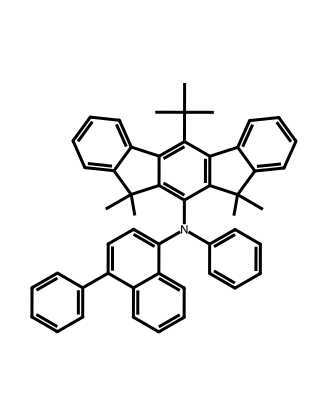 CC(C)(C)c1c2c(c(N(c3ccccc3)c3ccc(-c4ccccc4)c4ccccc34)c3c1-c1ccccc1C3(C)C)C(C)(C)c1ccccc1-2